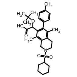 Cc1ccc(-c2c(C)c3c(c(C)c2[C@H](OC(C)(C)C)C(=O)O)CN(S(=O)(=O)C2CCCCC2)CC3)cc1